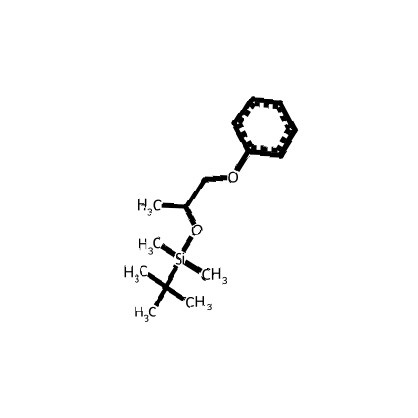 CC(COc1ccccc1)O[Si](C)(C)C(C)(C)C